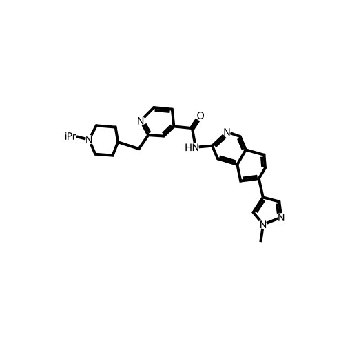 CC(C)N1CCC(Cc2cc(C(=O)Nc3cc4cc(-c5cnn(C)c5)ccc4cn3)ccn2)CC1